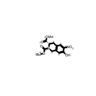 COC(=O)[C@@H]1Cc2cc([N+](=O)[O-])c(O)cc2CN1C(=O)OC(C)(C)C